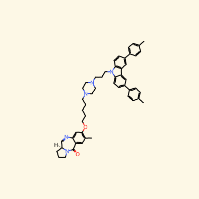 Cc1ccc(-c2ccc3c(c2)c2cc(-c4ccc(C)cc4)ccc2n3CCCN2CCN(CCCCCOc3cc4c(cc3C)C(=O)N3CCC[C@H]3C=N4)CC2)cc1